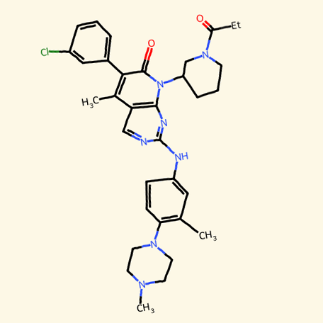 CCC(=O)N1CCCC(n2c(=O)c(-c3cccc(Cl)c3)c(C)c3cnc(Nc4ccc(N5CCN(C)CC5)c(C)c4)nc32)C1